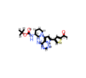 CC(=O)c1cc(-c2cc(N3CCC[C@@H](NC(=O)OC(C)(C)C)C3)c3c(N)ncnn23)cs1